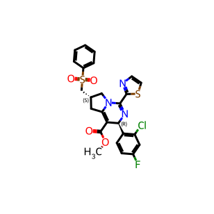 COC(=O)C1=C2C[C@H](CS(=O)(=O)c3ccccc3)CN2C(c2nccs2)=N[C@H]1c1ccc(F)cc1Cl